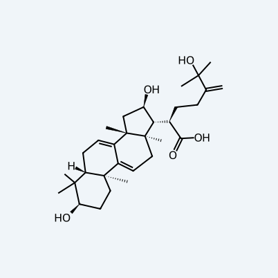 C=C(CC[C@@H](C(=O)O)[C@H]1[C@H](O)C[C@@]2(C)C3=CC[C@H]4C(C)(C)[C@H](O)CC[C@]4(C)C3=CC[C@]12C)C(C)(C)O